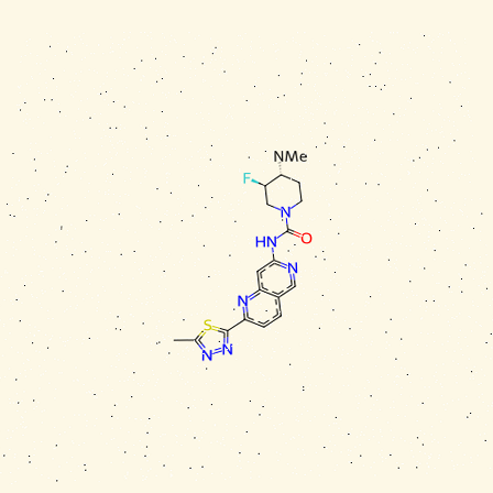 CN[C@@H]1CCN(C(=O)Nc2cc3nc(-c4nnc(C)s4)ccc3cn2)C[C@H]1F